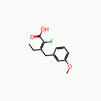 CCC(Cc1cccc(OC)c1)=C(F)C(=O)O